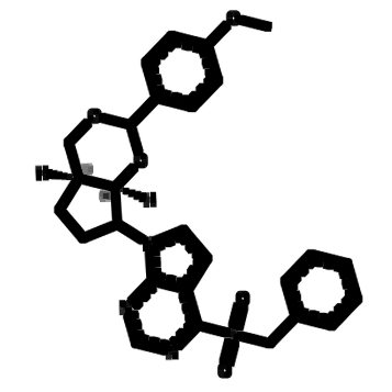 COc1ccc(C2OC[C@@H]3CCC(n4ccc5c(S(=O)(=O)Cc6ccccc6)ncnc54)[C@@H]3O2)cc1